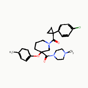 CC1=CC=C(OC2(C(=O)N3CCN(C)CC3)CCCN(C(=O)C3(c4ccc(Cl)cc4)CC3)C2)CC1